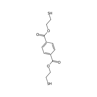 O=C(OCCS)c1ccc(C(=O)OCCS)cc1